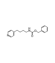 O=C(NCCCCc1ccncc1)OCc1ccccc1